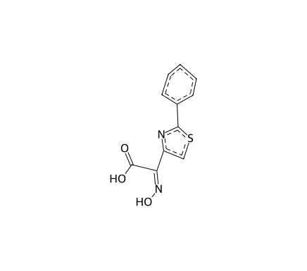 O=C(O)C(=NO)c1csc(-c2ccccc2)n1